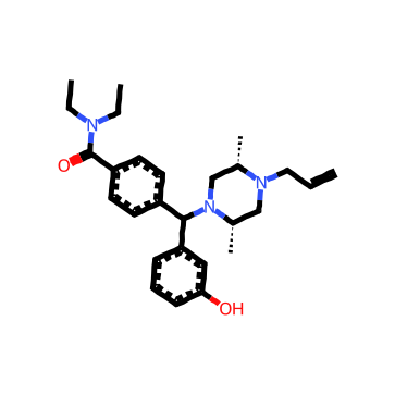 C=CCN1C[C@H](C)N(C(c2ccc(C(=O)N(CC)CC)cc2)c2cccc(O)c2)C[C@@H]1C